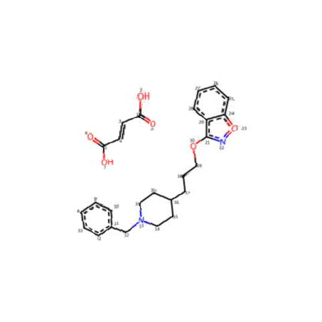 O=C(O)C=CC(=O)O.c1ccc(CN2CCC(CCCOc3noc4ccccc34)CC2)cc1